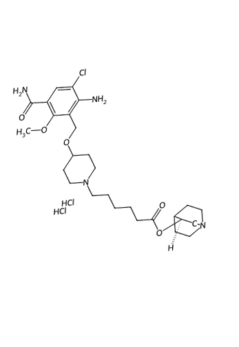 COc1c(C(N)=O)cc(Cl)c(N)c1COC1CCN(CCCCCC(=O)O[C@@H]2CN3CCC2CC3)CC1.Cl.Cl